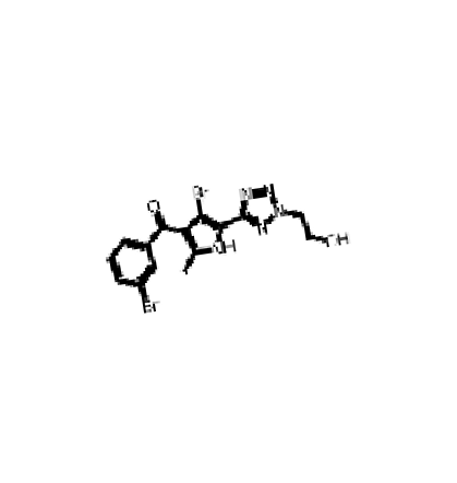 Cc1[nH]c(-c2nnn(CCO)n2)c(Br)c1C(=O)c1cccc(Br)c1